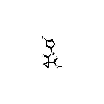 COC(=O)C1(C(=O)Nc2cc(F)cs2)CC1